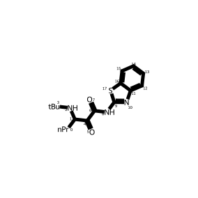 CCCC(NC(C)(C)C)C(=O)C(=O)Nc1nc2ccccc2s1